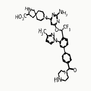 Cc1ccn(-c2cc(-c3ccc(C(=O)N4CCNCC4)cc3)ccc2[C@@H](Oc2cc(N3CCC4(CC3)CNC(C(=O)O)C4)nc(N)n2)C(F)(F)F)n1